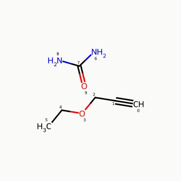 C#CCOCC.NC(N)=O